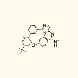 CNc1nc2nnc(-c3cccc(-c4ncc(C(C)(C)C)cn4)c3)n2c2cc(Cl)ccc12